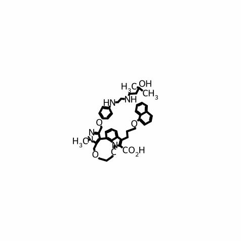 Cn1nc(COc2ccc(NCCNCCC(C)(C)O)cc2)c2c1COCCCCn1c(C(=O)O)c(CCCOc3cccc4ccccc34)c3cccc-2c31